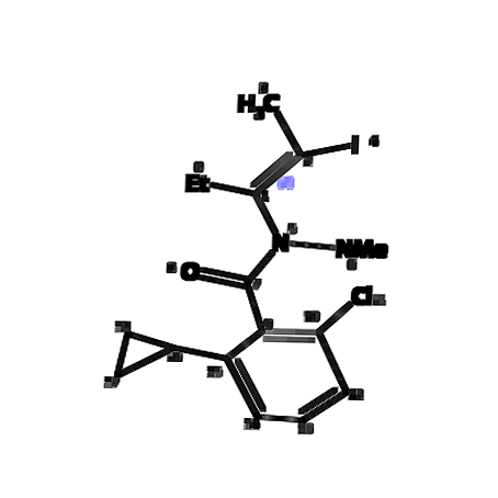 CC/C(=C(\C)I)N(NC)C(=O)c1c(Cl)cccc1C1CC1